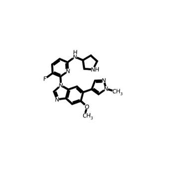 COc1cc2ncn(-c3nc(NC4CCNC4)ccc3F)c2cc1-c1cnn(C)c1